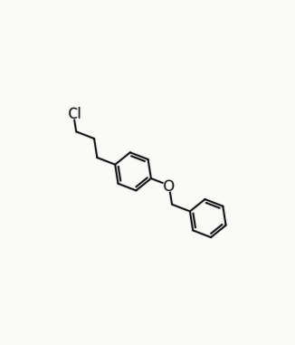 ClCCCc1ccc(OCc2ccccc2)cc1